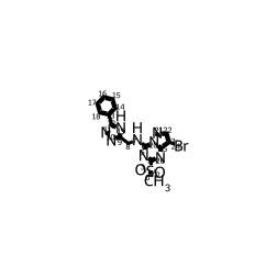 CS(=O)(=O)c1nc(NCc2nnc(-c3ccccc3)[nH]2)n2ncc(Br)c2n1